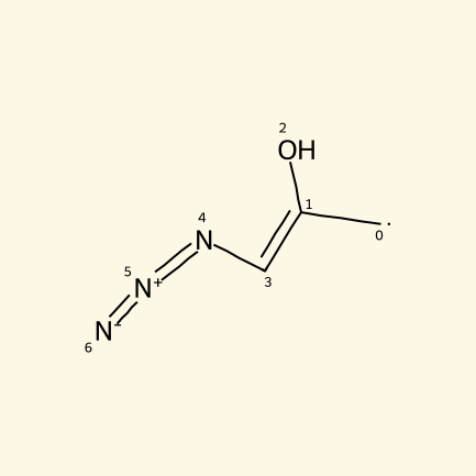 [CH2]/C(O)=C/N=[N+]=[N-]